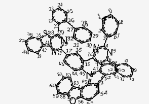 c1ccc(-c2nc(-c3ccccc3)nc(-c3cc(-c4nc(-c5ccccc5-c5ccccc5)c5sc6ccccc6c5n4)ccc3-n3c4ccccc4c4ccc5oc6ccccc6c5c43)n2)cc1